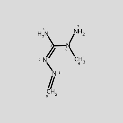 C=N/N=C(/N)N(C)N